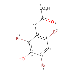 O=C(O)C(=O)Cc1c(Br)cc(Br)c(O)c1Br